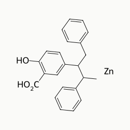 CC(c1ccccc1)C(Cc1ccccc1)c1ccc(O)c(C(=O)O)c1.[Zn]